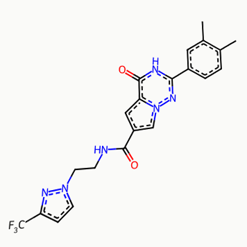 Cc1ccc(-c2nn3cc(C(=O)NCCn4ccc(C(F)(F)F)n4)cc3c(=O)[nH]2)cc1C